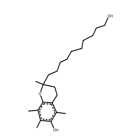 Cc1c(C)c2c(c(C)c1O)CCC(C)(CCCCCCCCCCO)O2